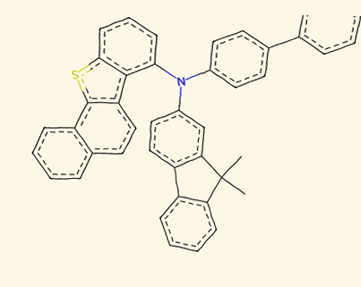 CC1(C)c2ccccc2-c2ccc(N(c3ccc(-c4ccccc4)cc3)c3cccc4sc5c6ccccc6ccc5c34)cc21